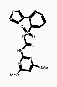 COc1cc(OC)nc(NC(=O)NS(=O)(=O)c2ccccc2-c2cnoc2)n1